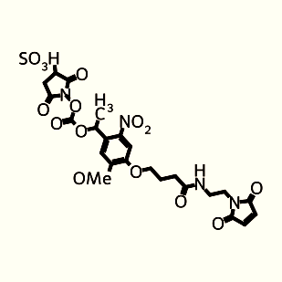 COc1cc(C(C)OC(=O)ON2C(=O)CC(S(=O)(=O)O)C2=O)c([N+](=O)[O-])cc1OCCCC(=O)NCCN1C(=O)C=CC1=O